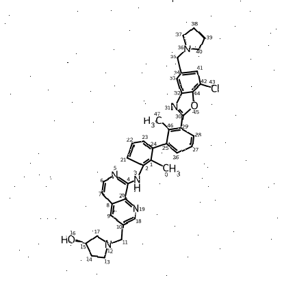 Cc1c(Nc2nccc3cc(CN4CC[C@@H](O)C4)cnc23)cccc1-c1cccc(-c2nc3cc(CN4CCCC4)cc(Cl)c3o2)c1C